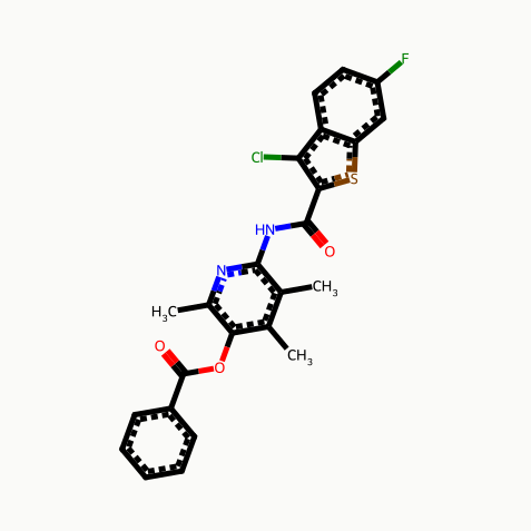 Cc1nc(NC(=O)c2sc3cc(F)ccc3c2Cl)c(C)c(C)c1OC(=O)c1ccccc1